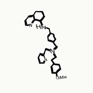 COc1ccc(CCN(Cc2ccc(CNC3CCCc4cccnc43)cc2)Cc2ccccn2)cc1